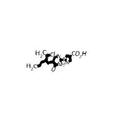 C=C/C=C(\C=C1/CN=C(n2cc(C(=O)O)cn2)NC1=O)C(=C)Cl